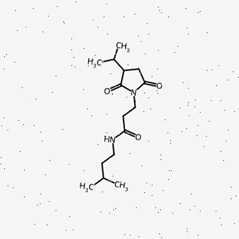 CC(C)CCNC(=O)CCN1C(=O)CC(C(C)C)C1=O